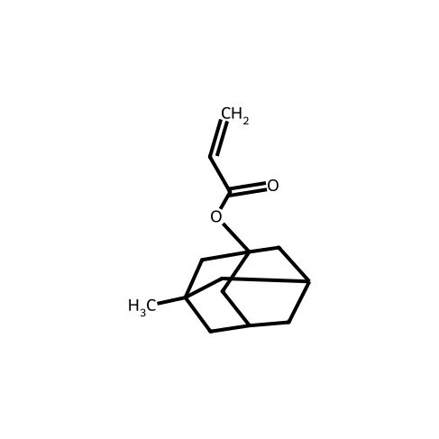 C=CC(=O)OC12CC3CC(CC(C)(C3)C1)C2